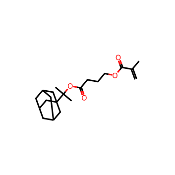 C=C(C)C(=O)OCCCC(=O)OC(C)(C)C12CC3CC(CC(C3)C1)C2